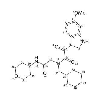 COc1ccc2c(c1)NCC2C(=O)C(=O)N(CC(=O)NC1CCOCC1)CC1CCCCC1